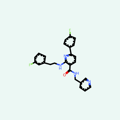 O=C(NCc1cccnc1)c1ccc(-c2ccc(F)cc2)nc1NCCc1cccc(F)c1